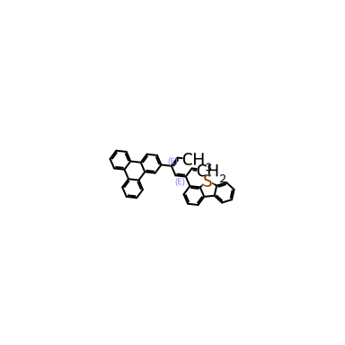 C=C/C(=C\C(=C/C)c1ccc2c3ccccc3c3ccccc3c2c1)c1cccc2c1sc1ccccc12